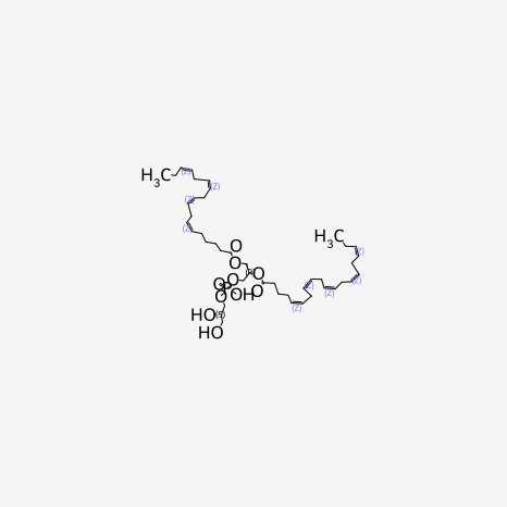 CC/C=C\C/C=C\C/C=C\C/C=C\C/C=C\CCCC(=O)O[C@H](COC(=O)CCCC/C=C\C/C=C\C/C=C\C/C=C\CC)COP(=O)(O)OC[C@@H](O)CO